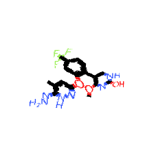 COC1=C(c2ccc(C(F)(F)F)cc2Oc2cc(C)c(=NN)[nH]n2)CNC(O)=N1